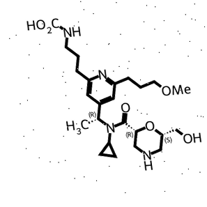 COCCCc1cc([C@@H](C)N(C(=O)[C@H]2CNC[C@@H](CO)O2)C2CC2)cc(CCCNC(=O)O)n1